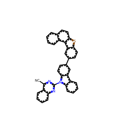 N#Cc1nc(-n2c3ccccc3c3cc(-c4ccc5sc6ccc7ccccc7c6c5c4)ccc32)nc2ccccc12